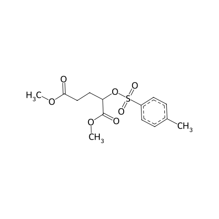 COC(=O)CCC(OS(=O)(=O)c1ccc(C)cc1)C(=O)OC